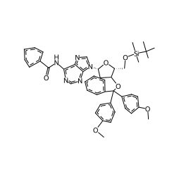 COc1ccc(C(OC2C[C@H](n3cnc4c(NC(=O)c5ccccc5)ncnc43)O[C@@H]2CO[Si](C)(C)C(C)(C)C)(c2ccccc2)c2ccc(OC)cc2)cc1